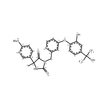 CCCc1cc(C(O)(C(F)(F)F)C(F)(F)F)ccc1Oc1ccnc(CN2C(=O)NC(C)(c3ccc(SC)nc3)C2=O)c1